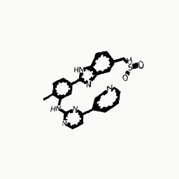 Cc1ccc(-c2nc3cc(C[SH](=O)=O)ccc3[nH]2)cc1Nc1nccc(-c2cccnc2)n1